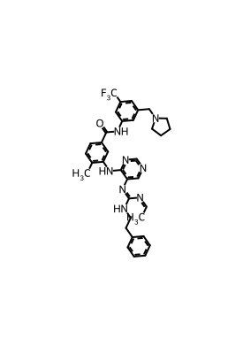 C/C=N\C(=N/c1cncnc1Nc1cc(C(=O)Nc2cc(CN3CCCC3)cc(C(F)(F)F)c2)ccc1C)NCCc1ccccc1